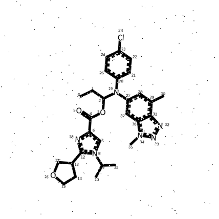 CCC(OC(=O)c1cn(C(C)C)c(C2CCOC2)n1)N(c1ccc(Cl)cc1)c1cc(C)c2nnn(C)c2c1